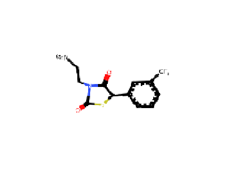 CNCCN1C(=O)SC(c2cccc(C(F)(F)F)c2)C1=O